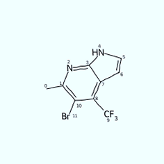 Cc1nc2[nH]ccc2c(C(F)(F)F)c1Br